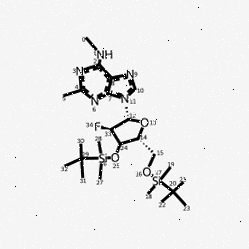 CNc1nc(C)nc2c1ncn2[C@@H]1O[C@H](CO[Si](C)(C)C(C)(C)C)C(O[Si](C)(C)C(C)(C)C)[C@H]1F